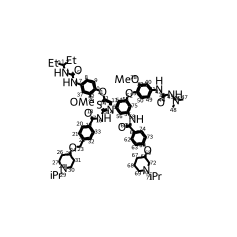 CCC(CC)NC(=O)Nc1ccc(Oc2cnc(NC(=O)c3ccc(COC4CCN(C(C)C)CC4)cc3)s2)c(OC)c1.COc1cc(NC(=O)NN(C)C)ccc1Oc1cccc(NC(=O)c2ccc(OC3CCCN(C(C)C)C3)cc2)c1